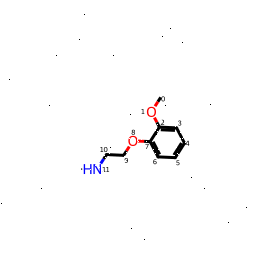 COc1ccccc1OCC[NH]